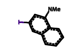 CNc1cc(I)cc2ccccc12